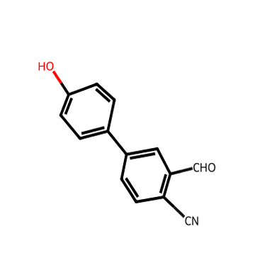 N#Cc1ccc(-c2ccc(O)cc2)cc1C=O